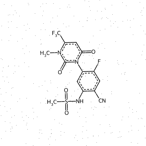 Cn1c(C(F)(F)F)cc(=O)n(-c2cc(NS(C)(=O)=O)c(C#N)cc2F)c1=O